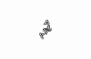 COc1ccc(CN2CCC(N(c3cccnc3)N(c3cccnc3)C3CCN(Cc4ccc(OC)c(OC5CCCC5)c4)CC3)CC2)cc1OCC(C)C